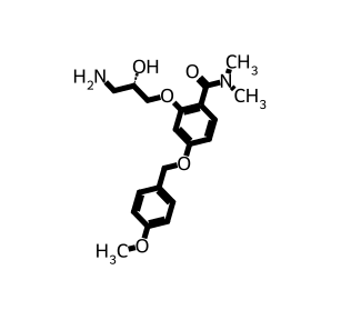 COc1ccc(COc2ccc(C(=O)N(C)C)c(OC[C@@H](O)CN)c2)cc1